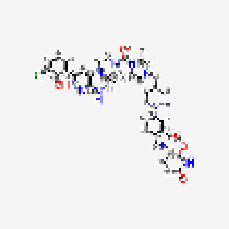 C[C@@H]1CN(CC2CCN(c3ccc4c(c3)C(=O)N([C@H]3CCC(=O)NC3=O)C4)CC2)C[C@H](C)N1C(=O)N1CCN2c3cc(-c4cccc(Cl)c4O)nnc3NC[C@@]2(C)C1